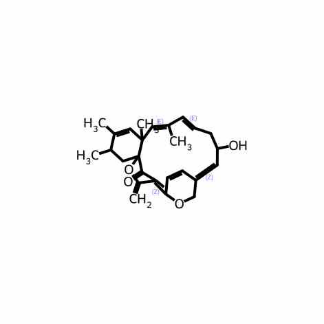 C=C1OC23CC(C)C(C)=CC2(C)/C=C(C)/C=C/CC(O)/C=C2C=C/C(=C\1C3=O)OC/2